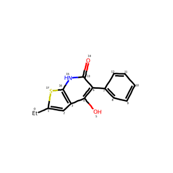 CCc1cc2c(O)c(-c3ccccc3)c(=O)[nH]c2s1